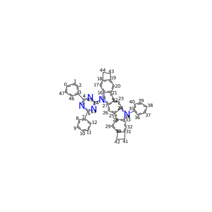 c1ccc(-c2nc(-c3ccccc3)nc(-n3c4cc5c(cc4c4cc6c(cc43)c3cc4c(cc3n6-c3ccccc3)CC4)CC5)n2)cc1